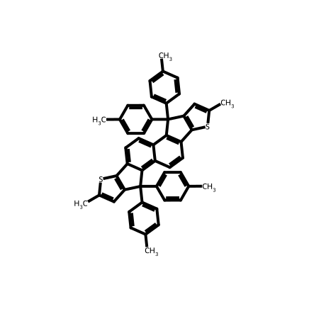 Cc1ccc(C2(c3ccc(C)cc3)c3cc(C)sc3-c3ccc4c5c(ccc4c32)-c2sc(C)cc2C5(c2ccc(C)cc2)c2ccc(C)cc2)cc1